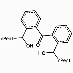 CCCCCC(O)c1ccccc1C(=O)c1ccccc1C(O)CCCCC